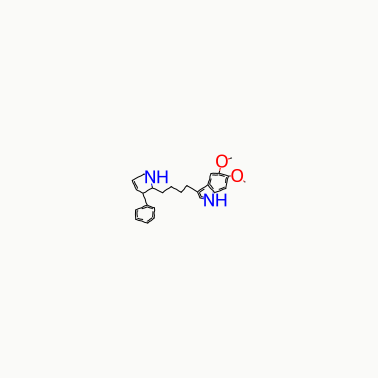 COc1cc2[nH]cc(CCCCC3NCC=CC3c3ccccc3)c2cc1OC